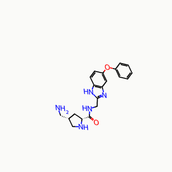 NC[C@H]1CN[C@@H](C(=O)NCc2nc3cc(Oc4ccccc4)ccc3[nH]2)C1